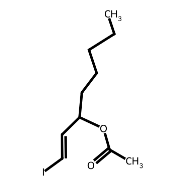 CCCCCC(C=CI)OC(C)=O